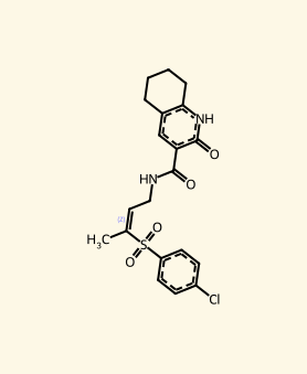 C/C(=C/CNC(=O)c1cc2c([nH]c1=O)CCCC2)S(=O)(=O)c1ccc(Cl)cc1